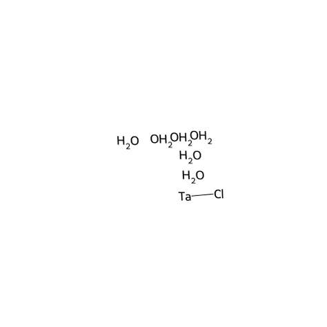 O.O.O.O.O.O.[Cl][Ta]